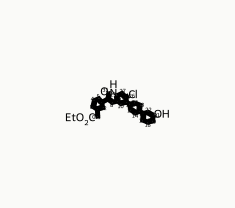 CCOC(=O)Cc1cccc(-c2cc3cc(-c4ccc(-c5cccc(O)c5)cc4)c(Cl)cc3[nH]c2=O)c1